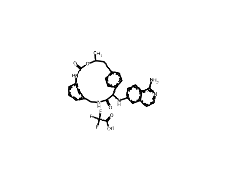 CC1Cc2ccc(cc2)C(Nc2ccc3c(N)nccc3c2)C(=O)NCc2cccc(c2)NC(=O)O1.O=C(O)C(F)(F)F